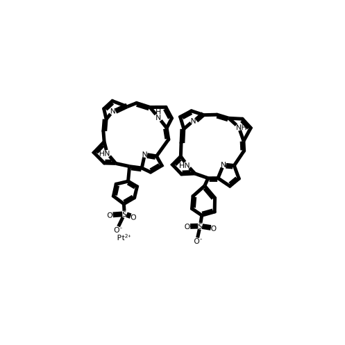 O=S(=O)([O-])c1ccc(-c2c3nc(cc4ccc(cc5nc(cc6ccc2[nH]6)C=C5)[nH]4)C=C3)cc1.O=S(=O)([O-])c1ccc(-c2c3nc(cc4ccc(cc5nc(cc6ccc2[nH]6)C=C5)[nH]4)C=C3)cc1.[Pt+2]